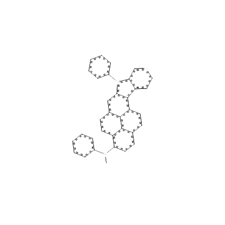 CN(c1ccccc1)c1ccc2ccc3c4c(ccc1c24)cc1c3c2ccncc2n1-c1ccccc1